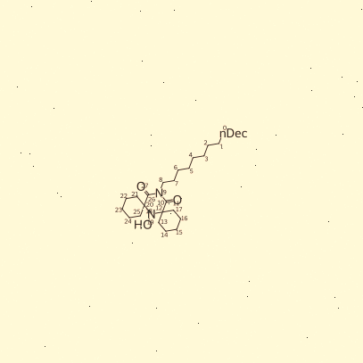 CCCCCCCCCCCCCCCCCCN1C(=O)C2(CCCCC2)N(O)C2(CCCCC2)C1=O